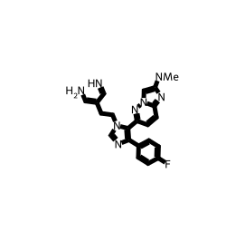 CNc1cn2nc(-c3c(-c4ccc(F)cc4)ncn3CC/C(C=N)=C/N)ccc2n1